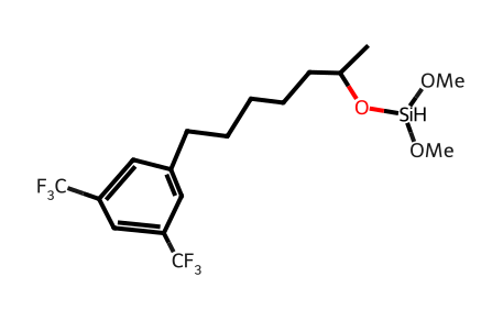 CO[SiH](OC)OC(C)CCCCCc1cc(C(F)(F)F)cc(C(F)(F)F)c1